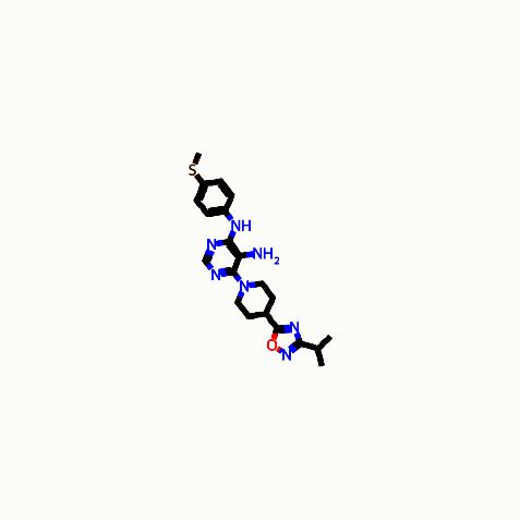 CSc1ccc(Nc2ncnc(N3CCC(c4nc(C(C)C)no4)CC3)c2N)cc1